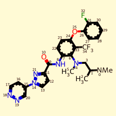 CNC(C)CN(C)c1c(NC(=O)c2ccn(-c3ccnnc3)n2)ccc(Oc2ccccc2F)c1C(F)(F)F